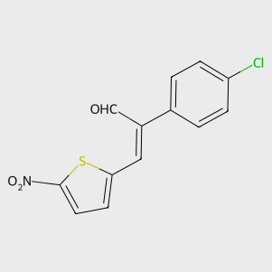 O=C/C(=C\c1ccc([N+](=O)[O-])s1)c1ccc(Cl)cc1